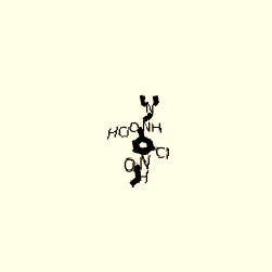 CCC(=O)Nc1ccc(C(=O)NCCN(CC)CC)cc1Cl.Cl